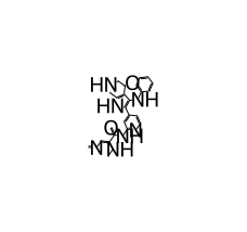 C=N/C=C(\NC)C(=O)Nc1cc(-c2[nH]c3c(c2Nc2ccccc2)C(=O)CNC3)ccn1